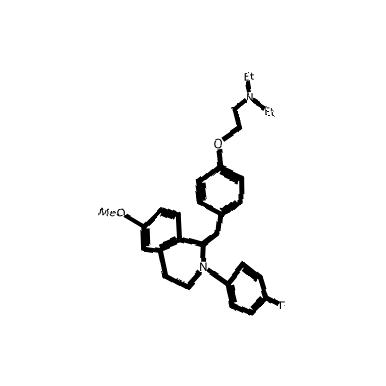 CCN(CC)CCOc1ccc(CC2c3ccc(OC)cc3CCN2c2ccc(F)cc2)cc1